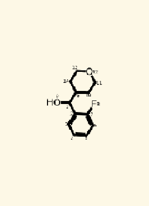 OC(c1ccccc1F)C1CCOCC1